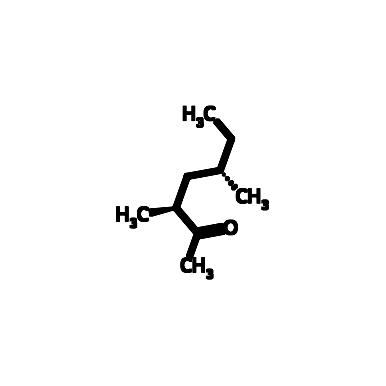 CC[C@H](C)C[C@H](C)C(C)=O